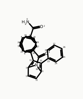 NC(=O)c1cccc(C(=O)n2c3ccc2c(-c2ccccc2)c3-c2ccccc2)c1